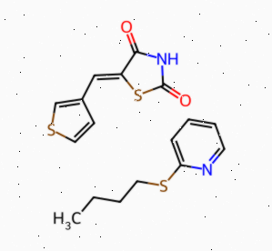 CCCCSc1ccccn1.O=C1NC(=O)C(=Cc2ccsc2)S1